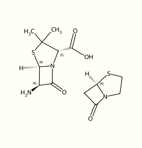 CC1(C)S[C@@H]2[C@H](N)C(=O)N2[C@H]1C(=O)O.O=C1C[C@H]2SCCN12